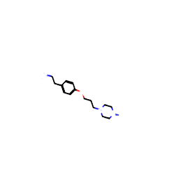 CN1CCN(CCCOc2ccc(CCN)cc2)CC1